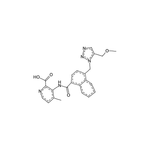 COCc1cnnn1Cc1ccc(C(=O)Nc2c(C)ccnc2C(=O)O)c2ccccc12